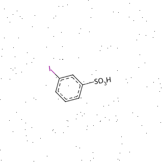 O=S(=O)(O)c1[c]ccc(I)c1